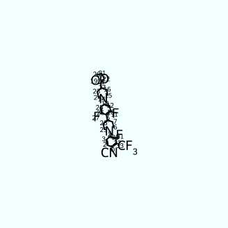 N#Cc1ccc(N2CCC(c3c(F)cc(N4CCC(C5OCCO5)CC4)cc3F)CC2)c(F)c1C(F)(F)F